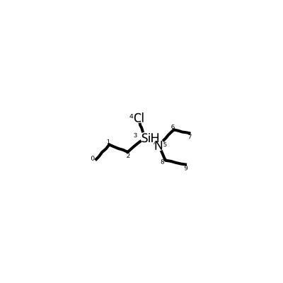 CCC[SiH](Cl)N(CC)CC